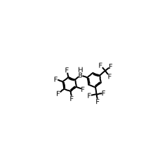 Fc1c(F)c(F)c(Bc2cc(C(F)(F)F)cc(C(F)(F)F)c2)c(F)c1F